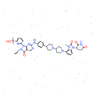 C=CCn1c(=O)c2cnc(Nc3ccc(C4CCN(C5CCN(c6cccc7c6n(C)c(=O)n7C6CCC(=O)NC6=O)CC5)CC4)cc3)nc2n1-c1cccc(C(C)(C)O)n1